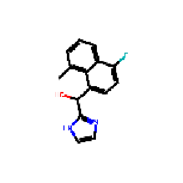 Cc1cccc2c(F)ccc(C(O)c3ncc[nH]3)c12